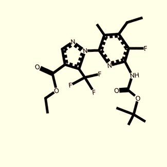 CCOC(=O)c1cnn(-c2nc(NC(=O)OC(C)(C)C)c(F)c(CC)c2C)c1C(F)(F)F